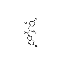 N[C@H](Cc1ccc(Cl)cc1Cl)C(=O)N1Cc2ccc(Br)cc2C1